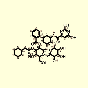 CC(=O)C1CC(NC(=O)c2cc(O)nc(O)n2)C(OC2OC(C)C(O)C(O)C2O)C(OC2OC(CO)C(O)C(O[C@@H](CC3CCCCC3)C(=O)O)C2OC(=O)c2ccccc2)C1